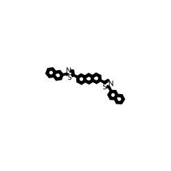 c1ccc2cc(-c3ncc(-c4ccc5cc6cc(-c7cnc(-c8ccc9ccccc9c8)s7)ccc6cc5c4)s3)ccc2c1